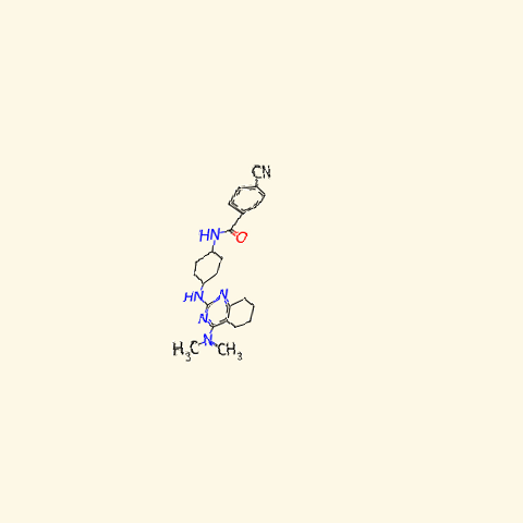 CN(C)c1nc(NC2CCC(NC(=O)c3ccc(C#N)cc3)CC2)nc2c1CCCC2